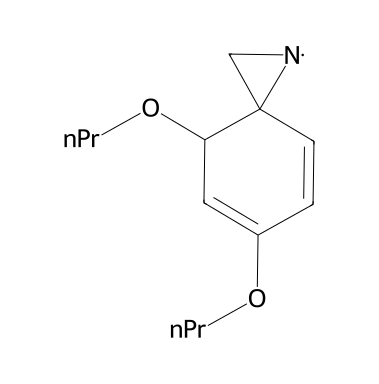 CCCOC1=CC(OCCC)C2(C=C1)C[N]2